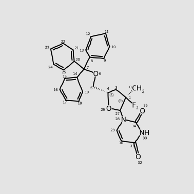 C[C@@]1(F)C[C@@H](COC(c2ccccc2)(c2ccccc2)c2ccccc2)OC1n1ccc(=O)[nH]c1=O